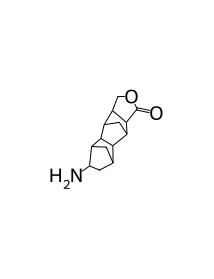 NC1CC2CC1C1C3CC(C4C(=O)OCC34)C21